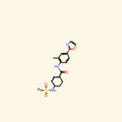 Cc1cc(-c2ncco2)ccc1NC(=O)C1CCC(NS(=O)(=O)C(C)C)CC1